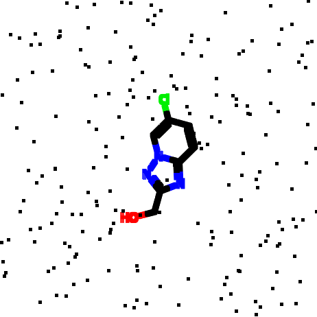 OCc1nc2ccc(Cl)cn2n1